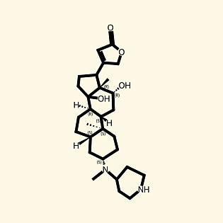 CN(C1CCNCC1)[C@H]1CC[C@@]2(C)[C@@H](CC[C@@H]3[C@@H]2C[C@@H](O)[C@@]2(C)C(C4=CC(=O)OC4)CCC32O)C1